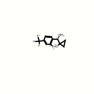 N[C@H](c1ccc(C(F)(F)F)cc1F)C1(O)CC1